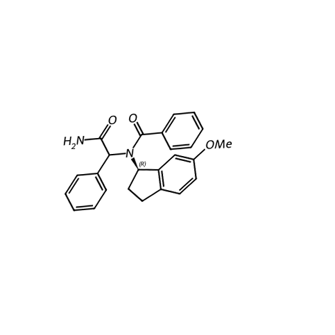 COc1ccc2c(c1)[C@H](N(C(=O)c1ccccc1)C(C(N)=O)c1ccccc1)CC2